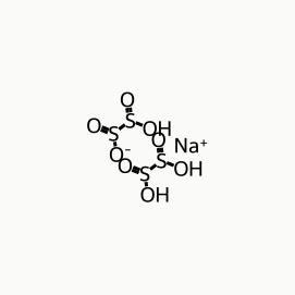 O=S(O)S(=O)O.O=S([O-])S(=O)O.[Na+]